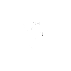 N.NOC(=O)Cc1ccccc1